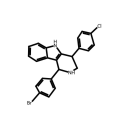 Clc1ccc(C2CNC(c3ccc(Br)cc3)c3c2[nH]c2ccccc32)cc1